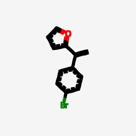 C=C(c1ccc(Br)cc1)c1ccco1